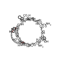 CCCC[C@H]1C(=O)N(C)[C@@H](CCCC)C(=O)N[C@@H](CC(C)C)C(=O)N[C@H](C(=O)NCC(N)=O)CSCC(=O)N[C@@H](Cc2ccc(O)cc2)C(=O)N(C)[C@@H](C)C(=O)N[C@@H](CC(N)=O)C(=O)N2CCC[C@H]2C(=O)N[C@H]2CNC(=S)NCCCCCCCCNC(=S)NCC[C@H](NC(=O)[C@H](Cc3c[nH]c4ccccc34)NC(=O)[C@@H]3C[C@@H](O)CN3C(=O)[C@H](CC(C)C)NC2=O)C(=O)N[C@@H](Cc2cn(CC(=O)O)c3ccccc23)C(=O)N1C